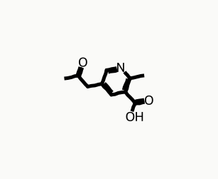 CC(=O)Cc1cnc(C)c(C(=O)O)c1